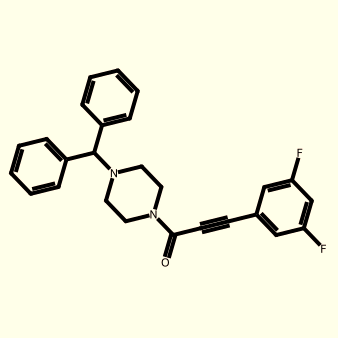 O=C(C#Cc1cc(F)cc(F)c1)N1CCN(C(c2ccccc2)c2ccccc2)CC1